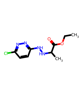 CCOC(=O)C(C)NNc1ccc(Cl)nn1